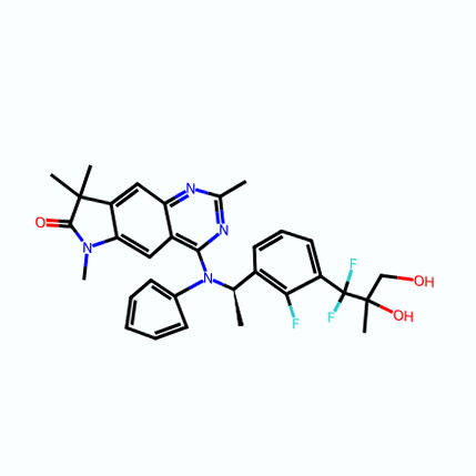 Cc1nc(N(c2ccccc2)[C@H](C)c2cccc(C(F)(F)C(C)(O)CO)c2F)c2cc3c(cc2n1)C(C)(C)C(=O)N3C